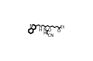 CCC(=O)CCCCCC(CNCc1cnc2ccccc2c1)NC(=O)CC#N